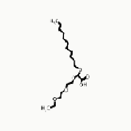 CCCCCCCCCCCOC(OCCOCCOCC)C(=O)O